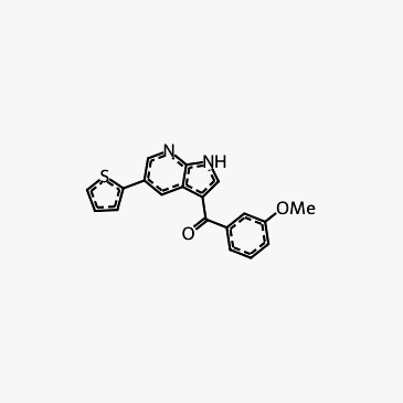 COc1cccc(C(=O)c2c[nH]c3ncc(-c4cccs4)cc23)c1